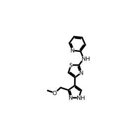 COCc1n[nH]cc1-c1csc(Nc2ccccn2)n1